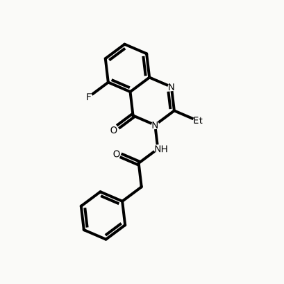 CCc1nc2cccc(F)c2c(=O)n1NC(=O)Cc1ccccc1